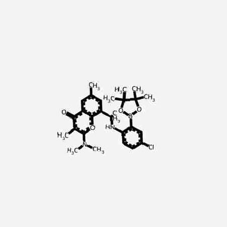 Cc1cc(C(C)Nc2ccc(Cl)cc2B2OC(C)(C)C(C)(C)O2)c2oc(N(C)C)c(C)c(=O)c2c1